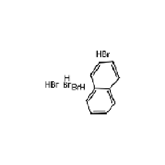 Br.Br.Br.Br.c1ccc2ccccc2c1